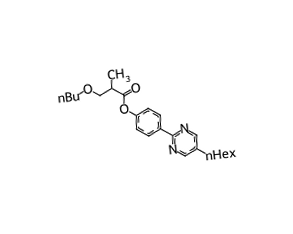 CCCCCCc1cnc(-c2ccc(OC(=O)C(C)COCCCC)cc2)nc1